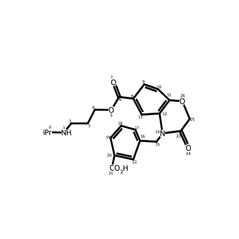 CC(C)NCCCOC(=O)c1ccc2c(c1)N(Cc1cccc(C(=O)O)c1)C(=O)CO2